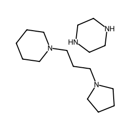 C1CCN(CCCN2CCCC2)CC1.C1CNCCN1